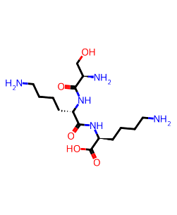 NCCCC[C@H](NC(=O)[C@H](CCCCN)NC(=O)[C@H](N)CO)C(=O)O